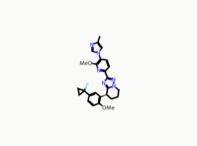 COc1ccc(C2(F)CC2)cc1[C@@H]1CCCn2nc(-c3ccc(-n4cnc(C)c4)c(OC)n3)nc21